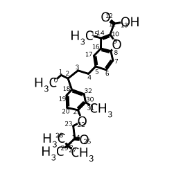 CCC(CCc1ccc2oc(C(=O)O)c(C)c2c1)c1ccc(OCC(=O)C(C)(C)C)c(C)c1